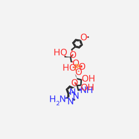 COc1ccc(CO[C@H](CO)COP(=O)(O)OC[C@H]2O[C@@](C=N)(c3ccc4c(N)ncnn34)C(O)C2O)cc1